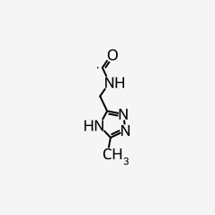 Cc1nnc(CN[C]=O)[nH]1